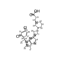 CC1c2ncc(N3CC(C4CCCN(CCC(=O)O)C4)C3)nc2N(C(C)c2ccc(Cl)cc2Cl)N1C